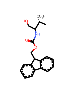 C[C@@H](C(=O)O)C(CO)NC(=O)OCC1c2ccccc2-c2ccccc21